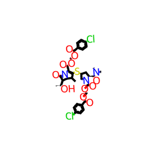 CC1C(S[C@H]2C[C@@H](C(=O)N(C)C)N(C(=O)OCOC(=O)c3ccc(Cl)cc3)C2)=C(C(=O)OCOC(=O)c2ccc(Cl)cc2)N2C(=O)C([C@@H](C)O)C12